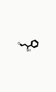 O=CCC(S)c1ccccc1